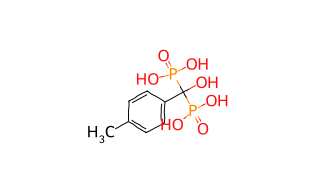 Cc1ccc(C(O)(P(=O)(O)O)P(=O)(O)O)cc1